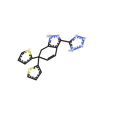 C1=CC(c2cccs2)(c2cccs2)Cc2[nH]nc(-c3nnn[nH]3)c21